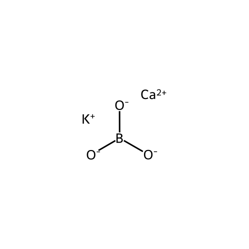 [Ca+2].[K+].[O-]B([O-])[O-]